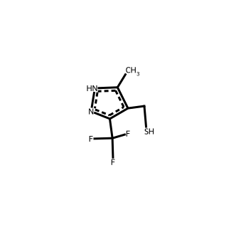 Cc1[nH]nc(C(F)(F)F)c1CS